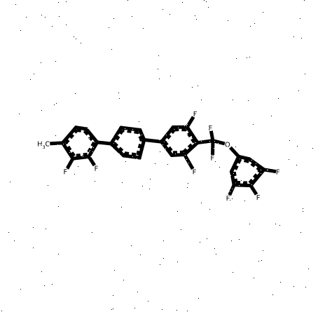 Cc1ccc(-c2ccc(-c3cc(F)c(C(F)(F)Oc4cc(F)c(F)c(F)c4)c(F)c3)cc2)c(F)c1F